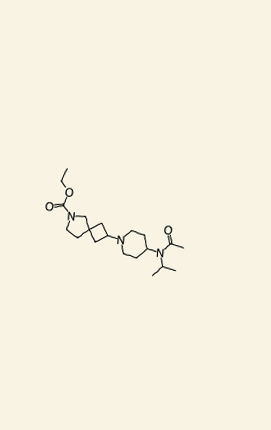 CCOC(=O)N1CCC2(CC(N3CCC(N(C(C)=O)C(C)C)CC3)C2)C1